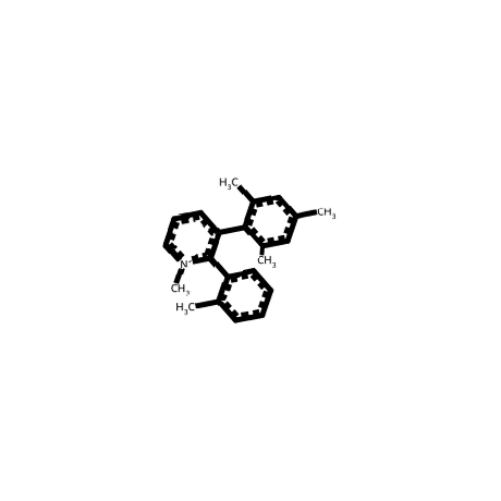 Cc1cc(C)c(-c2ccc[n+](C)c2-c2ccccc2C)c(C)c1